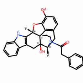 O=C(Cc1ccccc1)N1CC[C@]23c4c5ccc(O)c4O[C@H]2c2[nH]c4ccccc4c2C[C@@]3(O)[C@H]1C5